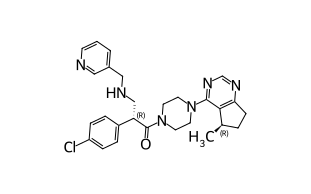 C[C@@H]1CCc2ncnc(N3CCN(C(=O)[C@@H](CNCc4cccnc4)c4ccc(Cl)cc4)CC3)c21